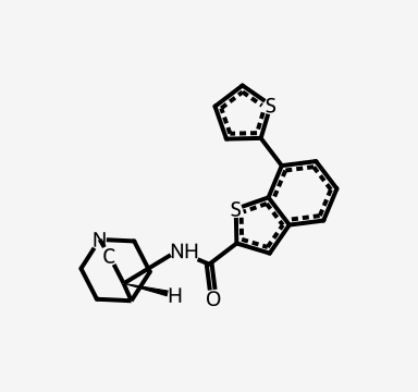 O=C(N[C@H]1CN2CCC1CC2)c1cc2cccc(-c3cccs3)c2s1